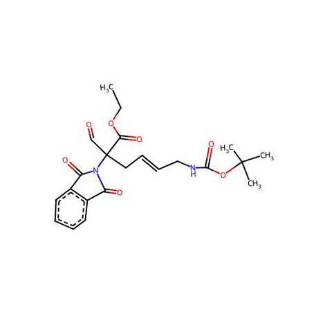 CCOC(=O)C(C=O)(CC=CCNC(=O)OC(C)(C)C)N1C(=O)c2ccccc2C1=O